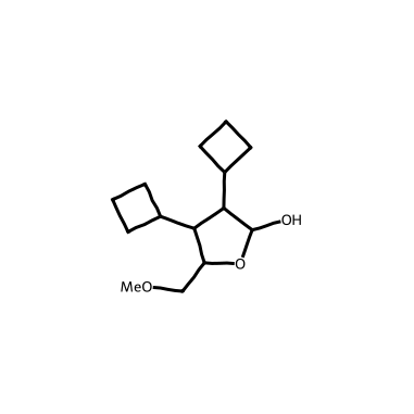 COCC1OC(O)C(C2CCC2)C1C1CCC1